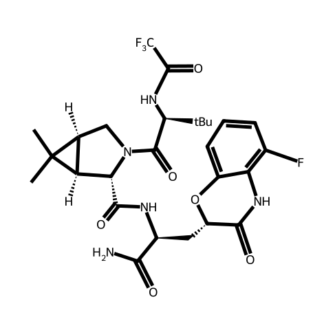 CC(C)(C)[C@H](NC(=O)C(F)(F)F)C(=O)N1C[C@H]2[C@@H]([C@H]1C(=O)N[C@@H](C[C@@H]1Oc3cccc(F)c3NC1=O)C(N)=O)C2(C)C